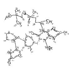 CCCc1c(Cc2ccc(-c3ccccc3-c3coc(=O)[nH]3)cc2F)c(=O)n(C(C)CC[C@](C)(CC)OCC(C)(C)O)c2nc(C)nn12